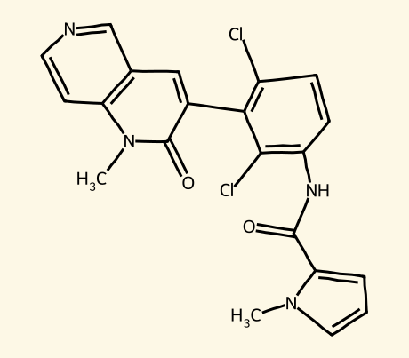 Cn1cccc1C(=O)Nc1ccc(Cl)c(-c2cc3cnccc3n(C)c2=O)c1Cl